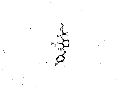 CCOC(=O)Nc1cccc(NCc2ccc(F)cc2)c1N